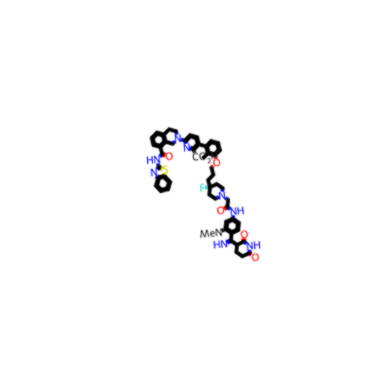 CNc1cc(NC(=O)CN2CCC(F)(CCCOc3cccc(-c4ccc(N5CCc6cccc(C(=O)Nc7nc8ccccc8s7)c6C5)nc4C(=O)O)c3C)CC2)ccc1C(=N)C1CCC(=O)NC1=O